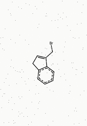 BrCC1=CCc2ccccc21